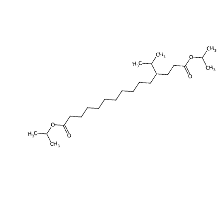 CC(C)OC(=O)CCCCCCCCCCC(CCC(=O)OC(C)C)C(C)C